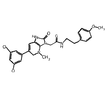 COc1ccc(CCNC(=O)Cn2c3c([nH]c2=O)C=C(c2cc(Cl)cc(Cl)c2)CN3C)cc1